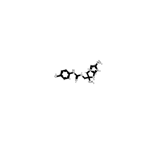 CC1(COC(=O)Nc2ccc(Cl)cc2)Cn2cc([N+](=O)[O-])nc2O1